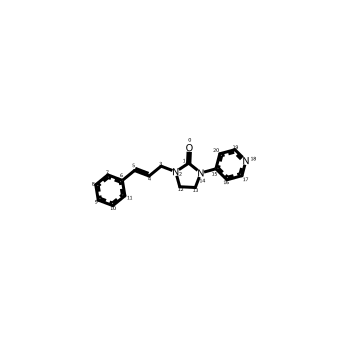 O=C1N(CC=Cc2ccccc2)CCN1c1ccncc1